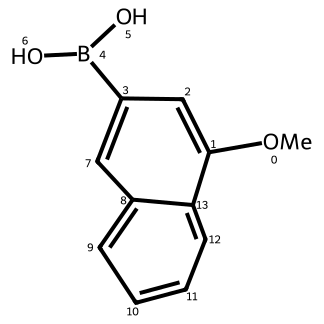 COc1cc(B(O)O)cc2ccccc12